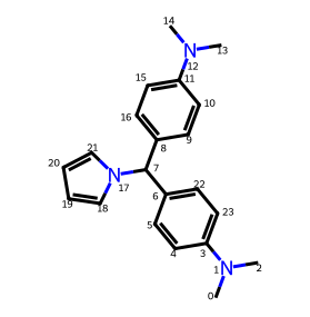 CN(C)c1ccc(C(c2ccc(N(C)C)cc2)n2cccc2)cc1